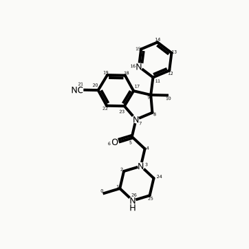 CC1CN(CC(=O)N2CC(C)(c3ccccn3)c3ccc(C#N)cc32)CCN1